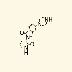 O=C1NCCCC1N1Cc2cc(N3CCNCC3)ccc2C1=O